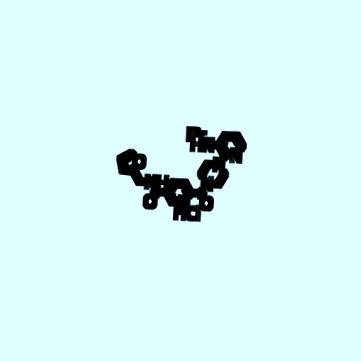 CC(C)Nc1cccnc1N1CCN(C(=O)c2ccc(C(=O)NCc3ccco3)cn2)CC1.Cl